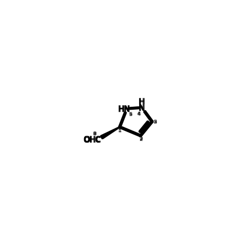 O=C[C@@H]1C=CNN1